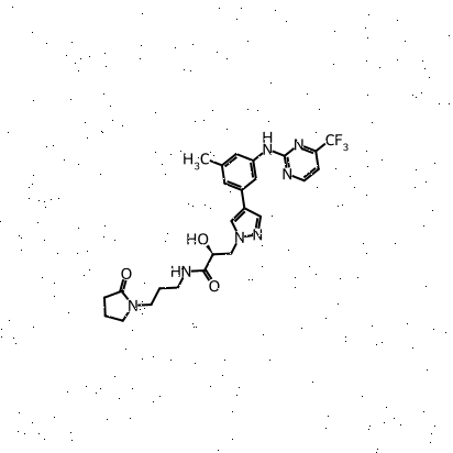 Cc1cc(Nc2nccc(C(F)(F)F)n2)cc(-c2cnn(C[C@H](O)C(=O)NCCCN3CCCC3=O)c2)c1